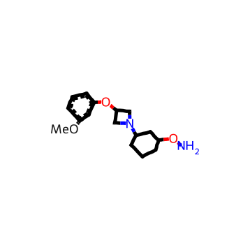 COc1cccc(OC2CN(C3CCCC(ON)C3)C2)c1